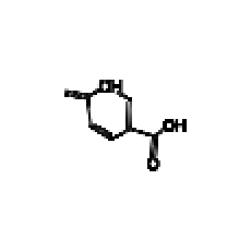 C=C(O)/C=C\C(=C/C)C(=O)O